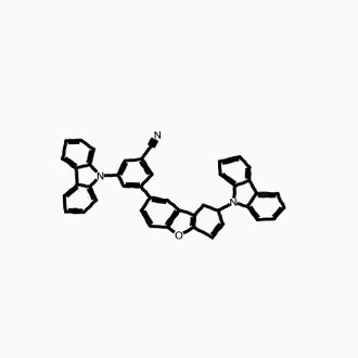 N#Cc1cc(-c2ccc3oc4c(c3c2)CC(n2c3ccccc3c3ccccc32)C=C4)cc(-n2c3ccccc3c3ccccc32)c1